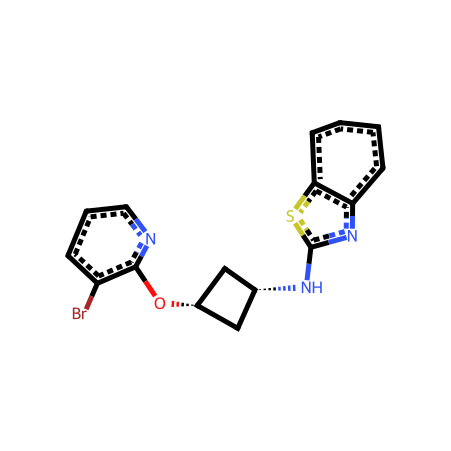 Brc1cccnc1O[C@H]1C[C@@H](Nc2nc3ccccc3s2)C1